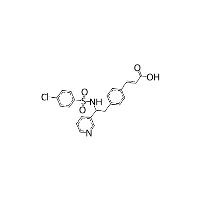 O=C(O)/C=C/c1ccc(CC(NS(=O)(=O)c2ccc(Cl)cc2)c2cccnc2)cc1